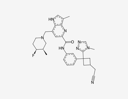 Cc1c[nH]c2c(CN3CC[C@H](F)[C@H](C)C3)cc(C(=O)Nc3cccc(C4(c5nncn5C)CC(CC#N)C4)c3)nc12